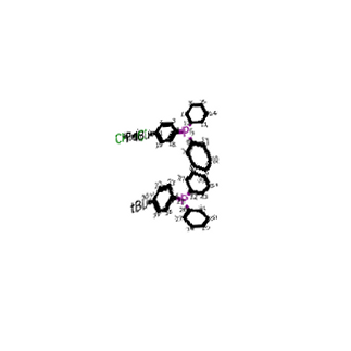 CC(C)(C)c1ccc(P(C2CCCCC2)C2CCCCC2)cc1.CC(C)(C)c1ccc(P(C2CCCCC2)C2CCCCC2)cc1.[Cl][Pd][Cl]